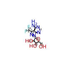 Nc1ncnc2c1c(C(F)F)nn2[C@@H]1O[C@@H](CO)[C@@H](O)[C@H]1O